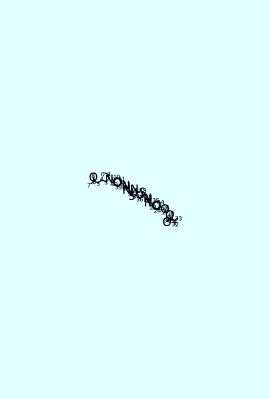 CCN(CCCC(C)=O)c1ccc(N=Nc2nc3sc(N=Nc4ccc(OCOC(=O)C(C)C)cc4)cc3s2)cc1